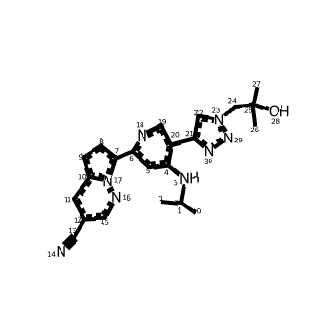 CC(C)Nc1cc(-c2ccc3cc(C#N)cnn23)ncc1-c1cn(CC(C)(C)O)nn1